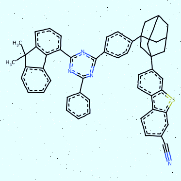 CC1(C)c2ccccc2-c2c(-c3nc(-c4ccccc4)nc(-c4ccc(C56CC7CC(C5)CC(c5ccc8c(c5)sc5cc(C#N)ccc58)(C7)C6)cc4)n3)cccc21